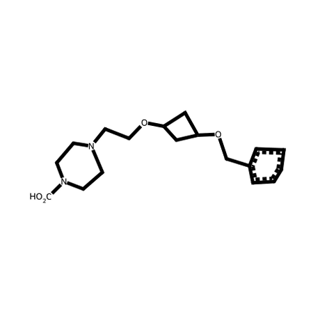 O=C(O)N1CCN(CCOC2CC(OCc3ccccc3)C2)CC1